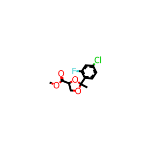 COC(=O)C1COC(C)(c2ccc(Cl)cc2F)O1